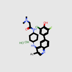 CC(=O)c1cnc2ccc(-c3cc(F)c(O)c(Cl)c3)cc2c1N[C@H]1CC[C@H](NC(=O)CN(C)C)CC1.Cl.Cl